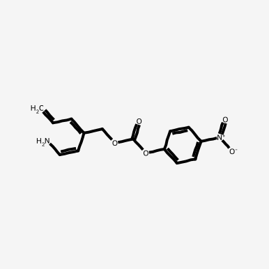 C=C/C=C(\C=C/N)COC(=O)Oc1ccc([N+](=O)[O-])cc1